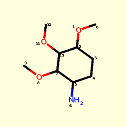 COC1CCC(N)C(OC)C1OC